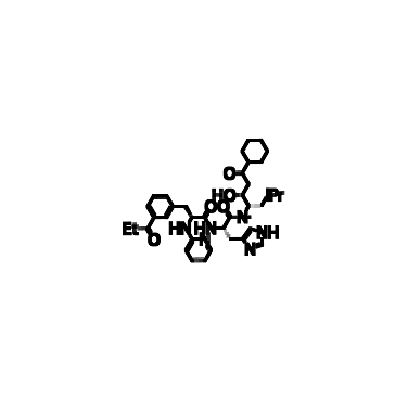 CCC(=O)c1cccc(C[C@H](Nc2ccccn2)C(=O)N[C@@H](Cc2c[nH]cn2)C(=O)[N][C@@H](CC(C)C)[C@@H](O)CC(=O)C2CCCCC2)c1